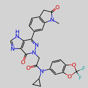 CN1C(=O)Cc2ccc(-c3nn(CC(=O)N(c4ccc5c(c4)OC(F)(F)O5)C4CC4)c(=O)c4nc[nH]c34)cc21